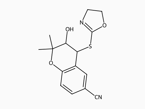 CC1(C)Oc2ccc(C#N)cc2C(SC2=NCCO2)C1O